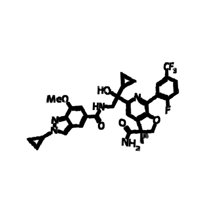 COc1cc(C(=O)NCC(O)(c2cc3c(c(-c4cc(C(F)(F)F)ccc4F)n2)OC[C@]3(C)C(N)=O)C2CC2)cc2cn(C3CC3)nc12